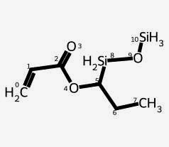 C=CC(=O)OC(CC)[SiH2]O[SiH3]